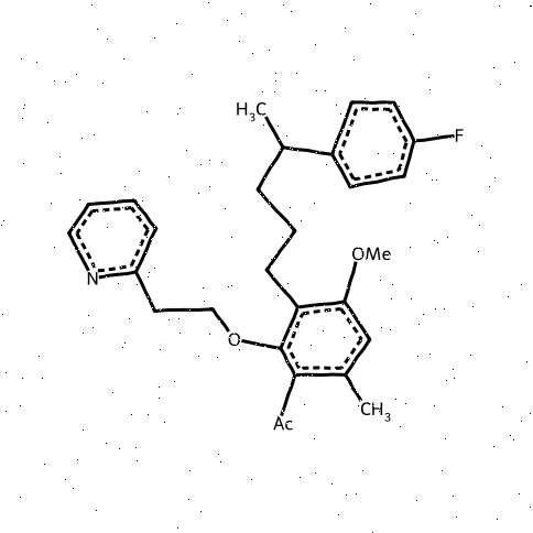 COc1cc(C)c(C(C)=O)c(OCCc2ccccn2)c1CCCC(C)c1ccc(F)cc1